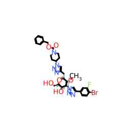 CO[C@@H]1[C@@H](n2cc(-c3ccc(Br)c(F)c3)nn2)[C@@H](O)[C@@H](CO)O[C@@H]1Cc1cn(C2CCN(C(=O)OCc3ccccc3)CC2)nn1